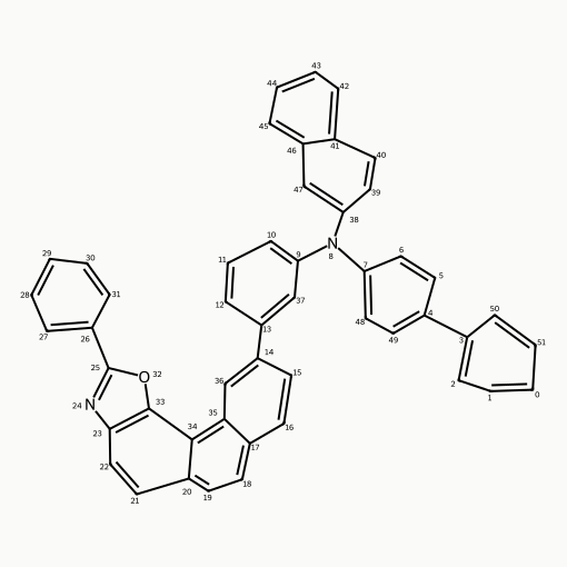 c1ccc(-c2ccc(N(c3cccc(-c4ccc5ccc6ccc7nc(-c8ccccc8)oc7c6c5c4)c3)c3ccc4ccccc4c3)cc2)cc1